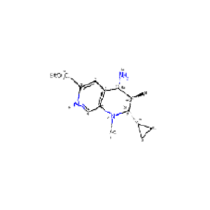 CCOC(=O)c1cc2c(cn1)N(C(C)=O)[C@@H](C1CC1)[C@H](C)[C@H]2N